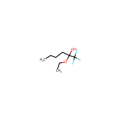 CCCCC(O)(OCC)C(F)(F)F